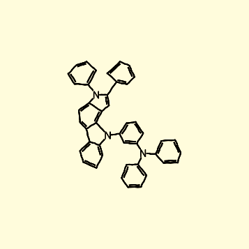 c1ccc(-c2cc3c(ccc4c5ccccc5n(-c5cccc(N(c6ccccc6)c6ccccc6)c5)c43)n2-c2ccccc2)cc1